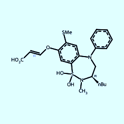 CCCC[C@@H]1CN(c2ccccc2)c2cc(SC)c(O/C=C/C(=O)O)cc2S(O)(O)N1C